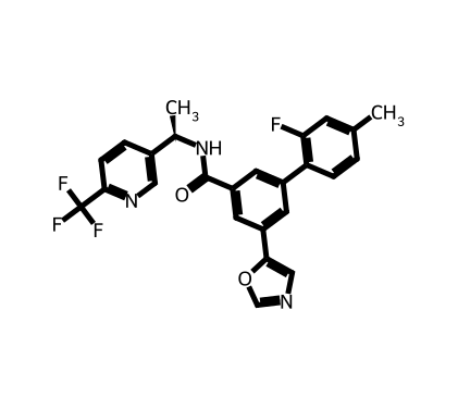 Cc1ccc(-c2cc(C(=O)N[C@H](C)c3ccc(C(F)(F)F)nc3)cc(-c3cnco3)c2)c(F)c1